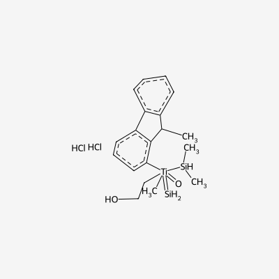 CC1c2ccccc2-c2ccc[c]([Ti]([CH3])(=[O])(=[SiH2])([CH2]CO)[SiH](C)C)c21.Cl.Cl